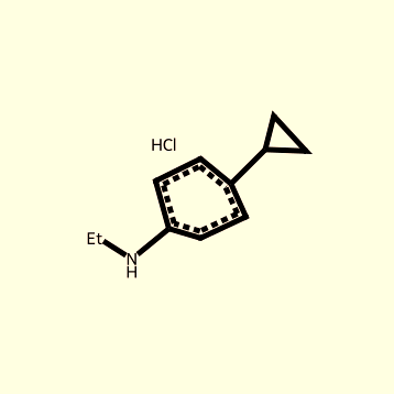 CCNc1ccc(C2CC2)cc1.Cl